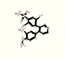 Cc1cc(-c2ccncc2-c2cc(F)c(S(C)(=O)=O)cc2F)ccc1OC(F)(F)F